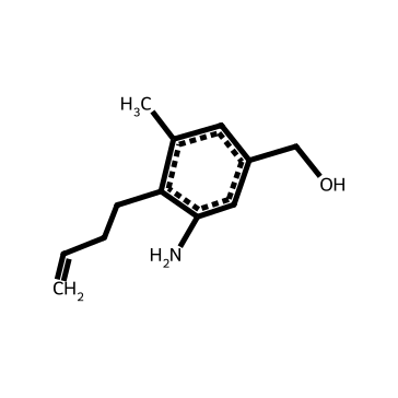 C=CCCc1c(C)cc(CO)cc1N